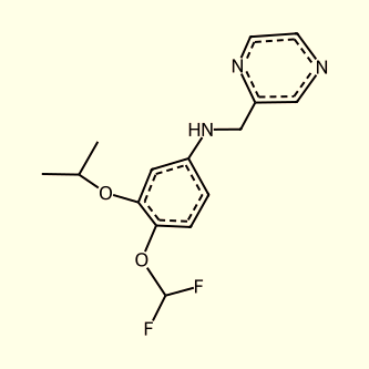 CC(C)Oc1cc(NCc2cnccn2)ccc1OC(F)F